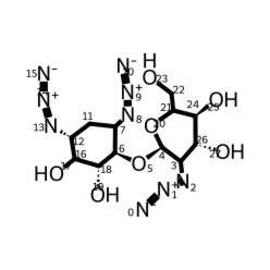 [N-]=[N+]=NC1[C@@H](O[C@@H]2C(N=[N+]=[N-])C[C@@H](N=[N+]=[N-])C(O)[C@H]2O)OC(CO)[C@@H](O)[C@@H]1O